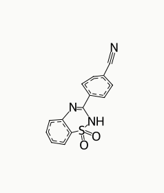 N#Cc1ccc(C2=Nc3ccccc3S(=O)(=O)N2)cc1